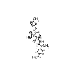 Cc1nnc(SCC2=C(C(=O)O)N3C(=O)[C@@H](NC(=O)C(N)c4ccc(CO)cc4)[C@H]3SC2)s1